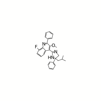 COc1c(-c2ccccc2)nc2c(F)cccc2c1C1=NCC(CC(C)C)(c2ccccc2)N1